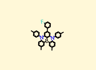 Cc1ccc(N2c3ccc(C)cc3B3c4cc(C)ccc4N(c4ccc(C)cc4)c4cc(-c5cccc(F)c5)cc2c43)cc1